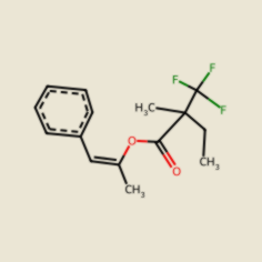 CCC(C)(C(=O)O/C(C)=C\c1ccccc1)C(F)(F)F